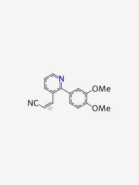 COc1ccc(-c2ncccc2/C=C\C#N)cc1OC